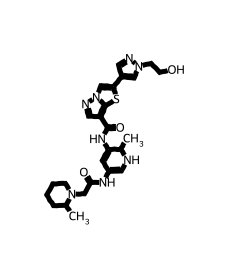 CC1NC=C(NC(=O)CN2CCCCC2C)C=C1NC(=O)c1cnn2cc(-c3cnn(CCO)c3)sc12